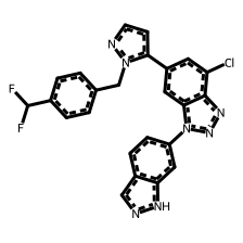 FC(F)c1ccc(Cn2nccc2-c2cc(Cl)c3nnn(-c4ccc5cn[nH]c5c4)c3c2)cc1